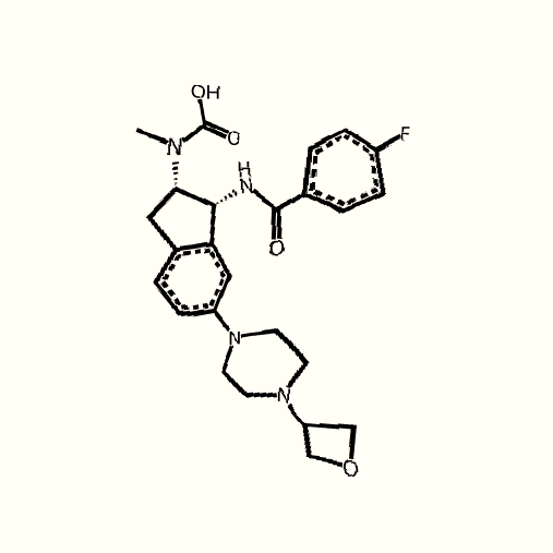 CN(C(=O)O)[C@H]1Cc2ccc(N3CCN(C4COC4)CC3)cc2[C@H]1NC(=O)c1ccc(F)cc1